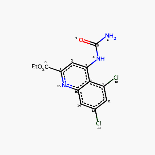 CCOC(=O)c1cc(NC(N)=O)c2c(Cl)cc(Cl)cc2n1